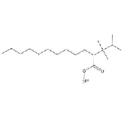 CCCCCCCCCCC(C(=O)OO)C(C)(C)C(C)C